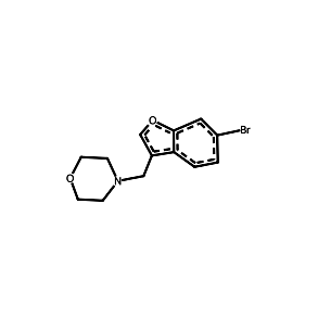 Brc1ccc2c(CN3CCOCC3)coc2c1